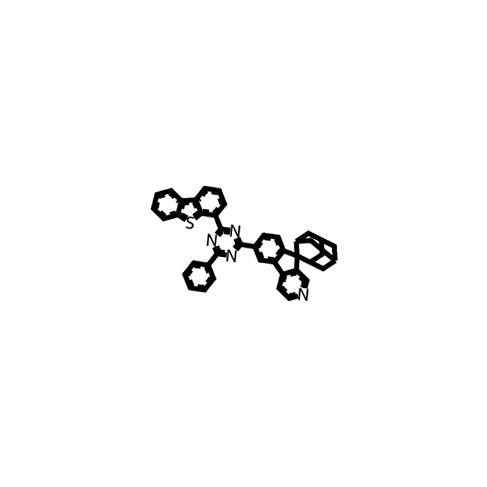 c1ccc(-c2nc(-c3ccc4c(c3)-c3ccncc3C43C4CC5CC(C4)CC3C5)nc(-c3cccc4c3sc3ccccc34)n2)cc1